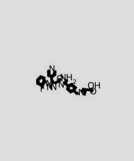 C=C(/N=C(\ON)c1nnn(-c2ccccc2F)c1-c1ccncc1)c1ccc(CN2CC(C(=O)O)C2)cc1